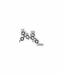 CC[C@@H]1CN(c2cc(=O)n(Cc3ccc(OC)cc3)c3ccc(C#N)nc23)[C@@H](C)CN1C(c1ccc(F)cc1)c1ccc(C(F)(F)F)cn1